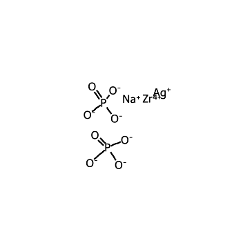 O=P([O-])([O-])[O-].O=P([O-])([O-])[O-].[Ag+].[Na+].[Zr+4]